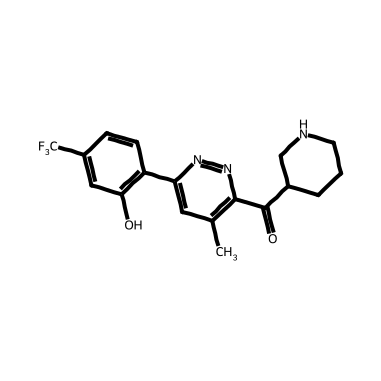 Cc1cc(-c2ccc(C(F)(F)F)cc2O)nnc1C(=O)C1CCCNC1